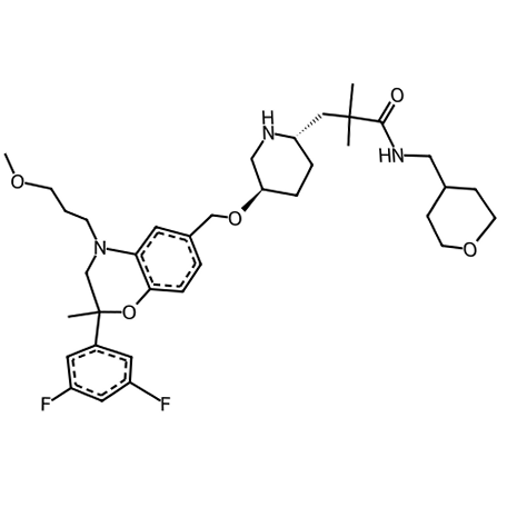 COCCCN1CC(C)(c2cc(F)cc(F)c2)Oc2ccc(CO[C@@H]3CC[C@@H](CC(C)(C)C(=O)NCC4CCOCC4)NC3)cc21